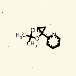 CC(C)(C)OC1(c2ccccn2)CC1